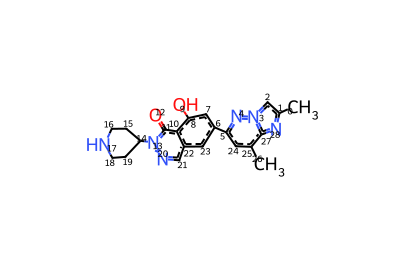 Cc1cn2nc(-c3cc(O)c4c(=O)n(C5CCNCC5)ncc4c3)cc(C)c2n1